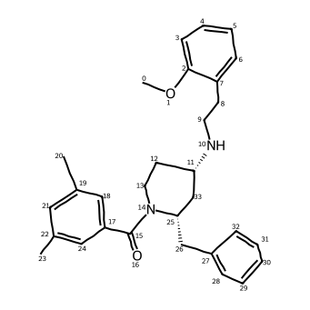 COc1ccccc1CCN[C@H]1CCN(C(=O)c2cc(C)cc(C)c2)[C@@H](Cc2ccccc2)C1